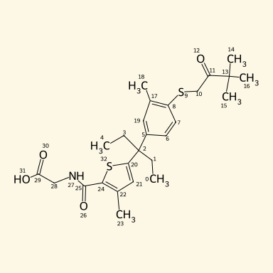 CCC(CC)(c1ccc(SCC(=O)C(C)(C)C)c(C)c1)c1cc(C)c(C(=O)NCC(=O)O)s1